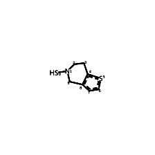 SN1CCc2sccc2C1